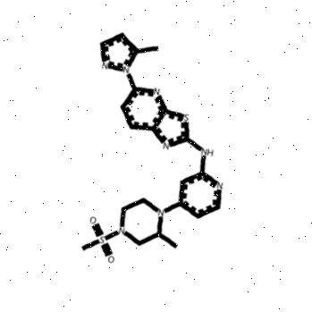 Cc1ccnn1-c1ccc2nc(Nc3cc(N4CCN(S(C)(=O)=O)CC4C)ccn3)sc2n1